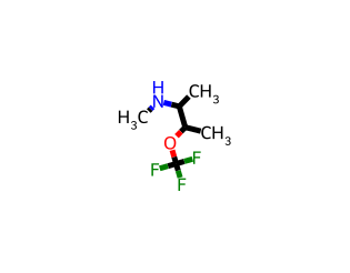 CNC(C)C(C)OC(F)(F)F